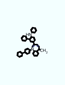 C=C1/C=C\C(c2ccc(Nc3ccccc3)c(-c3ccccc3)c2)=C/N(c2ccc(-c3ccccc3)cc2)c2ccccc21